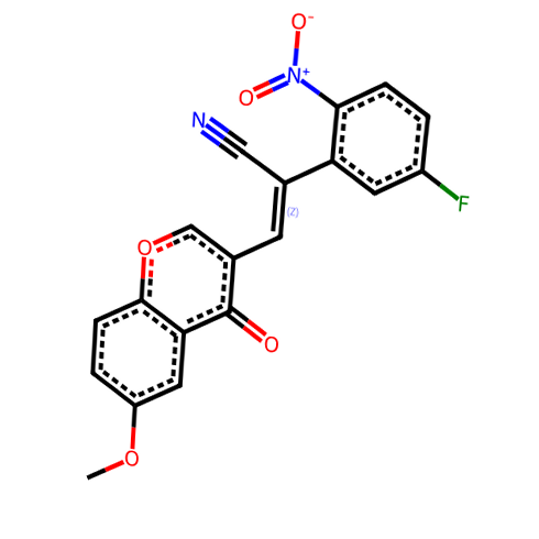 COc1ccc2occ(/C=C(\C#N)c3cc(F)ccc3[N+](=O)[O-])c(=O)c2c1